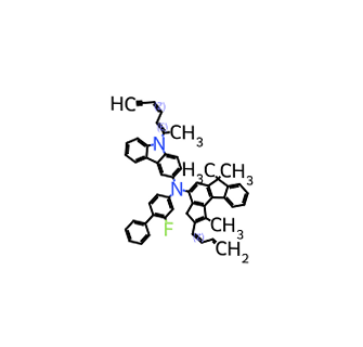 C#C/C=C\C=C(/C)n1c2ccccc2c2cc(N(c3ccc(-c4ccccc4)c(F)c3)c3cc4c(c5c3CC(/C=C\C=C)=C5C)-c3ccccc3C4(C)C)ccc21